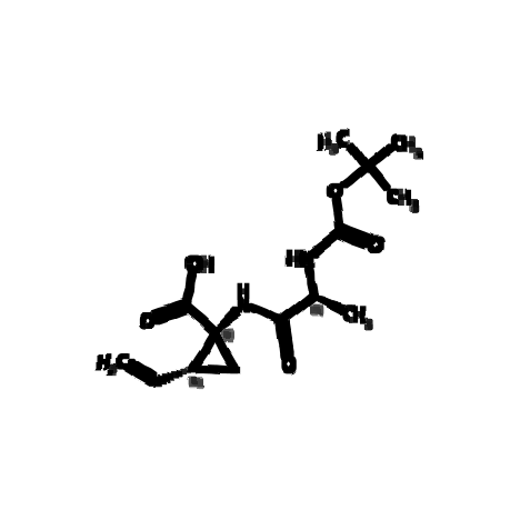 C=C[C@H]1C[C@@]1(NC(=O)[C@H](C)NC(=O)OC(C)(C)C)C(=O)O